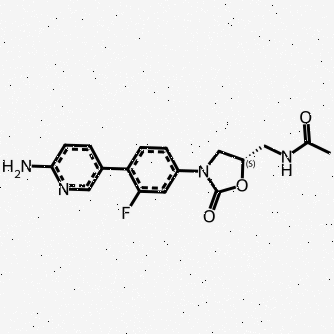 CC(=O)NC[C@H]1CN(c2ccc(-c3ccc(N)nc3)c(F)c2)C(=O)O1